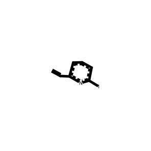 C=Cc1cccc(I)n1